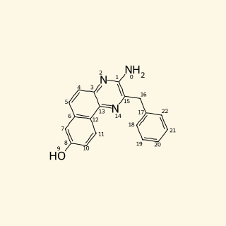 Nc1nc2ccc3cc(O)ccc3c2nc1Cc1ccccc1